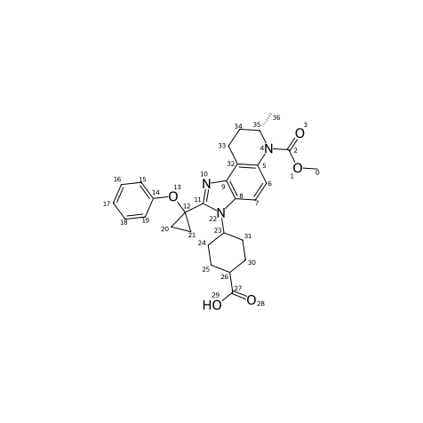 COC(=O)N1c2ccc3c(nc(C4(Oc5ccccc5)CC4)n3C3CCC(C(=O)O)CC3)c2CC[C@@H]1C